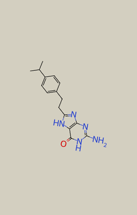 CC(C)c1ccc(CCc2nc3nc(N)[nH]c(=O)c3[nH]2)cc1